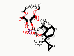 CCOC(=O)CO[PH](O)(OCOc1c(C(C)C)cccc1[C@H](C)C1CC1)OCC(=O)OCC